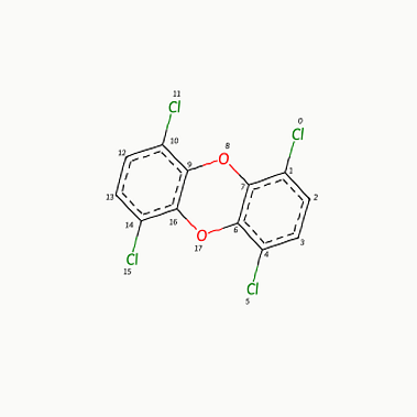 Clc1ccc(Cl)c2c1Oc1c(Cl)ccc(Cl)c1O2